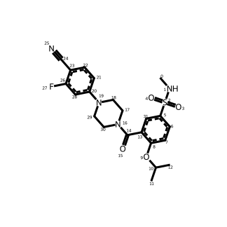 CNS(=O)(=O)c1ccc(OC(C)C)c(C(=O)N2CCN(c3ccc(C#N)c(F)c3)CC2)c1